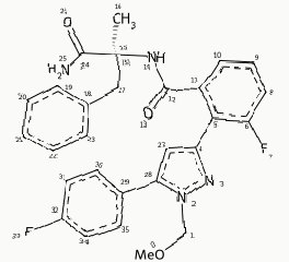 COCn1nc(-c2c(F)cccc2C(=O)N[C@@](C)(Cc2ccccc2)C(N)=O)cc1-c1ccc(F)cc1